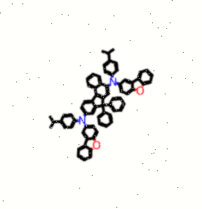 CC(C)c1ccc(N(c2ccc3c(c2)C(c2ccccc2)(c2ccccc2)c2cc(N(c4ccc(C(C)C)cc4)c4ccc5oc6ccccc6c5c4)c4ccccc4c2-3)c2ccc3oc4ccccc4c3c2)cc1